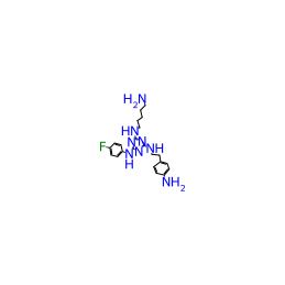 NCCCCCNc1nc(NCCc2ccc(N)cc2)nc(Nc2ccc(F)cc2)n1